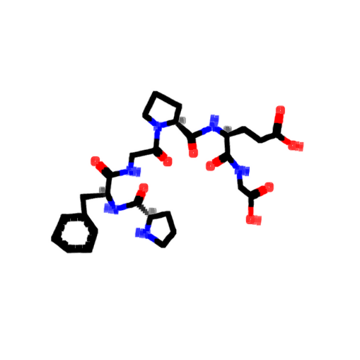 O=C(O)CC[C@H](NC(=O)[C@@H]1CCCN1C(=O)CNC(=O)[C@H](Cc1ccccc1)NC(=O)[C@@H]1CCCN1)C(=O)NCC(=O)O